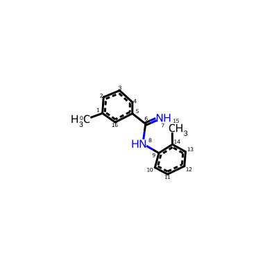 Cc1cccc(C(=N)Nc2ccccc2C)c1